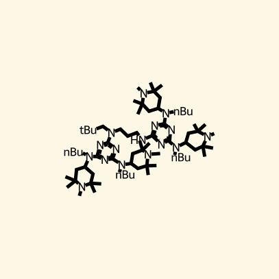 CCCCN(c1nc(NCCCN(CC(C)(C)C)c2nc(N(CCCC)C3CC(C)(C)N(C)C(C)(C)C3)nc(N(CCCC)C3CC(C)(C)N(C)C(C)(C)C3)n2)nc(N(CCCC)C2CC(C)(C)N(C)C(C)(C)C2)n1)C1CC(C)(C)N(C)C(C)(C)C1